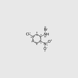 O=[N+]([O-])c1ccc(Cl)cc1NBr